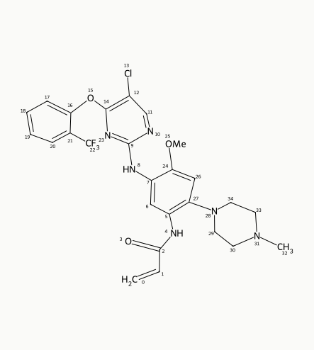 C=CC(=O)Nc1cc(Nc2ncc(Cl)c(Oc3ccccc3C(F)(F)F)n2)c(OC)cc1N1CCN(C)CC1